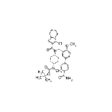 COc1ccc(-c2ccc(C(N)=O)cc2)cc1CN(C(=O)c1sc2ccccc2c1Cl)[C@H]1CC[C@H](N(C)C(=O)OC(C)(C)C)CC1